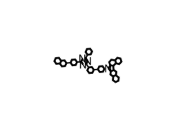 c1ccc(-c2nc(-c3ccc(-c4ccc5ccccc5c4)cc3)nc(-c3cccc(-c4ccc(-n5c6cc7ccccc7cc6c6c7ccccc7ccc65)cc4)c3)n2)cc1